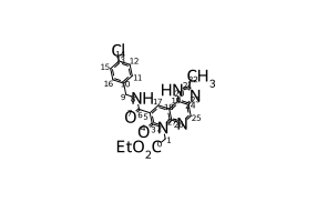 CCOC(=O)Cn1c(=O)c(C(=O)NCc2ccc(Cl)cc2)cc2c3[nH]c(C)nc3cnc21